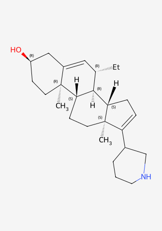 CC[C@H]1C=C2C[C@H](O)CC[C@]2(C)[C@H]2CC[C@]3(C)C(C4CCCNC4)=CC[C@H]3[C@H]12